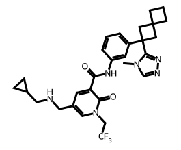 Cn1cnnc1C1(c2cccc(NC(=O)c3cc(CNCC4CC4)cn(CC(F)(F)F)c3=O)c2)CC2(CCC2)C1